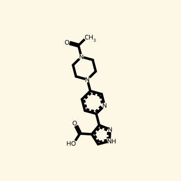 CC(=O)N1CCN(c2ccc(-c3n[nH]cc3C(=O)O)nc2)CC1